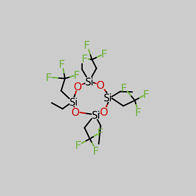 CC[Si]1(CC(F)(F)F)O[Si](CC)(CC(F)(F)F)O[Si](CC)(CC(F)(F)F)O[Si](CC)(CC(F)(F)F)O1